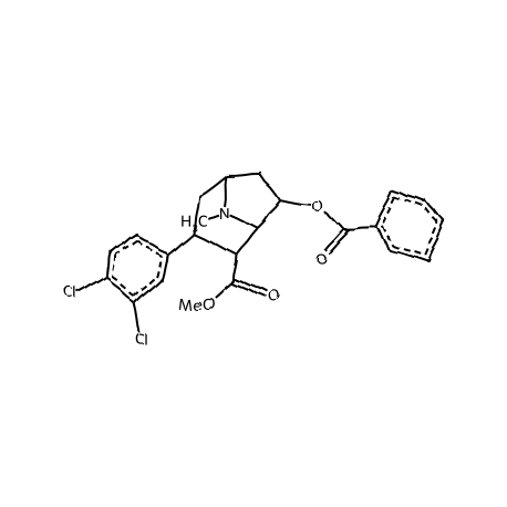 COC(=O)C1C(c2ccc(Cl)c(Cl)c2)CC2CC(OC(=O)c3ccccc3)C1N2C